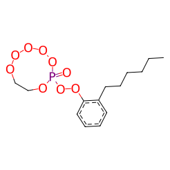 CCCCCCc1ccccc1OOP1(=O)OCCOOOOO1